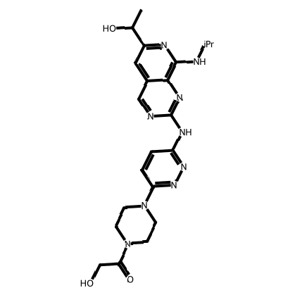 CC(C)Nc1nc(C(C)O)cc2cnc(Nc3ccc(N4CCN(C(=O)CO)CC4)nn3)nc12